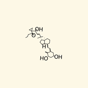 C=C1/C(=C\C=C2/CCC[C@]3(C)[C@@H](C(C)(C)/C=C/[C@H](O)C4(C(=O)CCC)CC4)CC[C@@H]23)C[C@@H](O)C[C@@H]1O